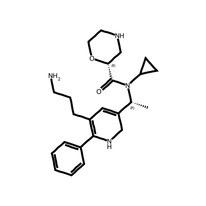 C[C@H](C1=CC(CCCN)=C(c2ccccc2)NC1)N(C(=O)[C@H]1CNCCO1)C1CC1